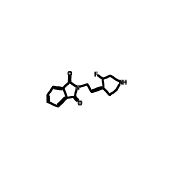 O=C1c2ccccc2C(=O)N1C/C=C1/CCNCC1F